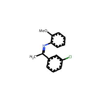 COc1ccccc1N=C(C)c1cccc(Cl)c1